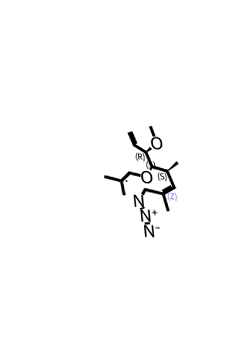 C=C[C@@H](OC)[C@@H](OC[C](C)C)[C@@H](C)/C=C(/C)CN=[N+]=[N-]